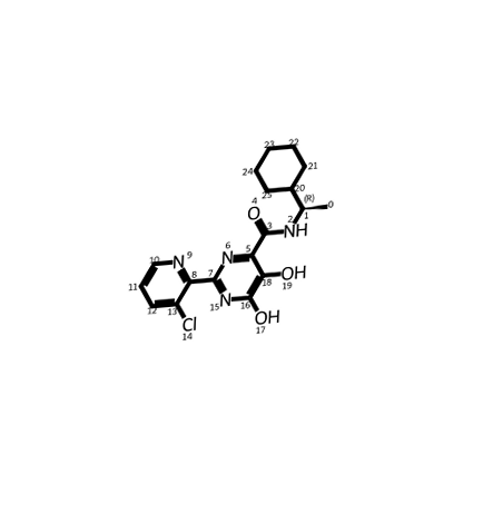 C[C@@H](NC(=O)c1nc(-c2ncccc2Cl)nc(O)c1O)C1CCCCC1